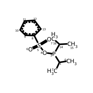 CC(C)P(OS(=O)(=O)c1ccccc1)C(C)C